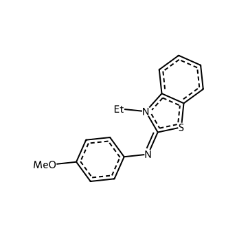 CCn1/c(=N\c2ccc(OC)cc2)sc2ccccc21